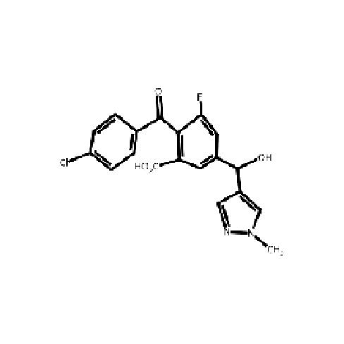 Cn1cc(C(O)c2cc(F)c(C(=O)c3ccc(Cl)cc3)c(C(=O)O)c2)cn1